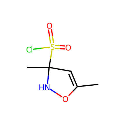 CC1=CC(C)(S(=O)(=O)Cl)NO1